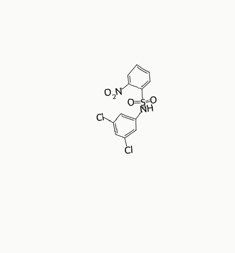 O=[N+]([O-])c1ccccc1S(=O)(=O)Nc1cc(Cl)cc(Cl)c1